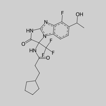 CC(O)c1ccc2c(nc3n2C(NC(=O)CCC2CCCC2)(C(F)(F)F)C(=O)N3)c1F